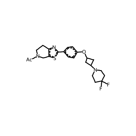 CC(=O)N1CCc2nc(-c3ccc(OC4CC(N5CCC(F)(F)CC5)C4)cc3)sc2C1